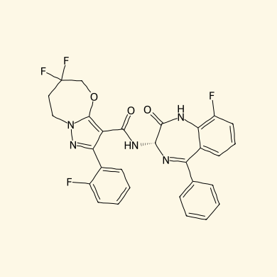 O=C(N[C@H]1N=C(c2ccccc2)c2cccc(F)c2NC1=O)c1c(-c2ccccc2F)nn2c1OCC(F)(F)CC2